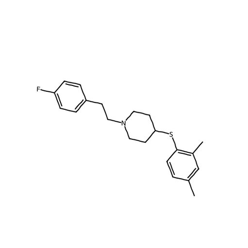 Cc1ccc(SC2CCN(CCc3ccc(F)cc3)CC2)c(C)c1